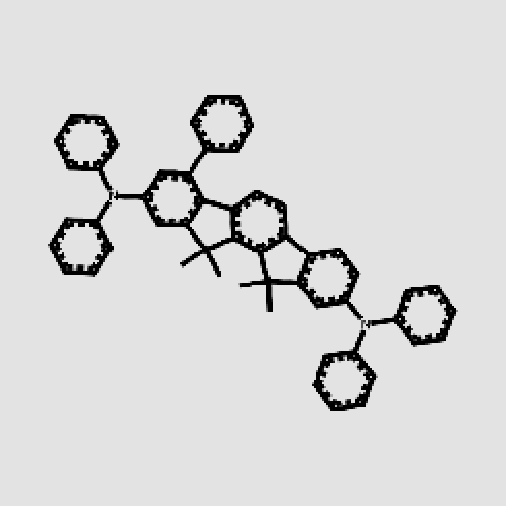 CC1(C)c2cc(N(c3ccccc3)c3ccccc3)ccc2-c2ccc3c(c21)C(C)(C)c1cc(N(c2ccccc2)c2ccccc2)cc(-c2ccccc2)c1-3